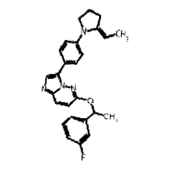 C/C=C1\CCCN1c1ccc(-c2cnc3ccc(OC(C)c4cccc(F)c4)nn23)cc1